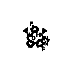 O=C(c1cccc(F)c1)N(Cc1cccc(-c2cc(F)c3ncnc(NC4CC4)c3c2)c1)C1CC1